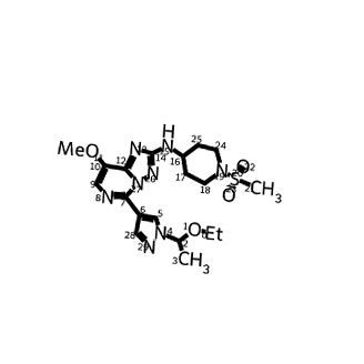 CCOC(C)n1cc(-c2ncc(OC)c3nc(NC4CCN(S(C)(=O)=O)CC4)nn23)cn1